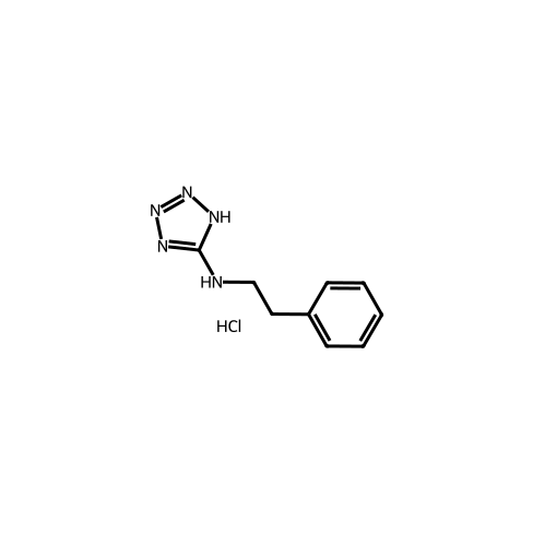 Cl.c1ccc(CCNc2nnn[nH]2)cc1